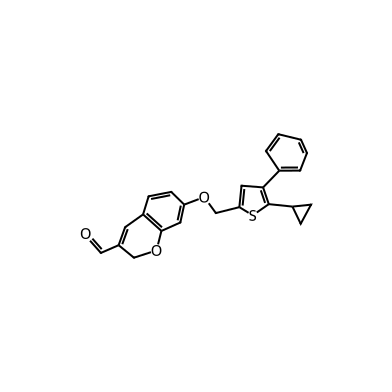 O=CC1=Cc2ccc(OCc3cc(-c4ccccc4)c(C4CC4)s3)cc2OC1